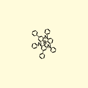 c1ccc(-c2cc3c4c(c2)N(c2ccccc2)c2cc(-c5ccccc5)cc5c2B4c2c(cccc2N5c2ccccc2)N3c2ccccc2)cc1